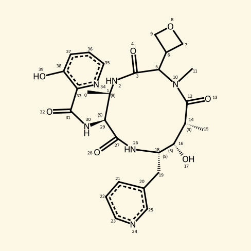 C[C@H]1NC(=O)C(C2COC2)N(C)C(=O)[C@H](C)[C@H](O)[C@H](Cc2cccnc2)NC(=O)[C@H]1NC(=O)c1ncccc1O